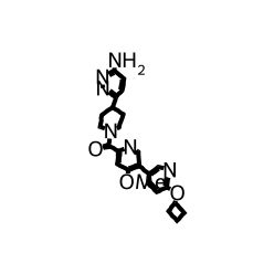 COc1cc(C(=O)N2CCC(c3ccc(N)nn3)CC2)ncc1-c1ccc(OC2CCC2)nc1